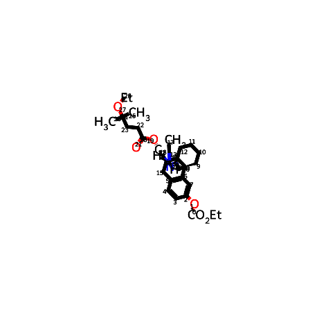 CCOC(=O)Oc1ccc2c(c1)[C@@]13CCCC[C@H]1[C@@H](C2)[N+](C)(COC(=O)CCC(C)(C)OCC)CC3